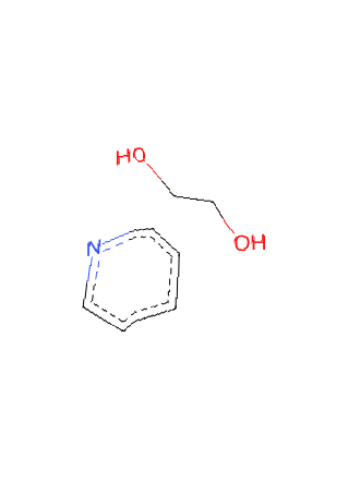 OCCO.c1ccncc1